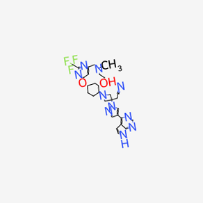 CN(CCO)Cc1cc(O[C@H]2CC[C@@H](N3CC(CC#N)(n4cc(-c5ncnc6[nH]ccc56)cn4)C3)CC2)nc(C(F)(F)F)n1